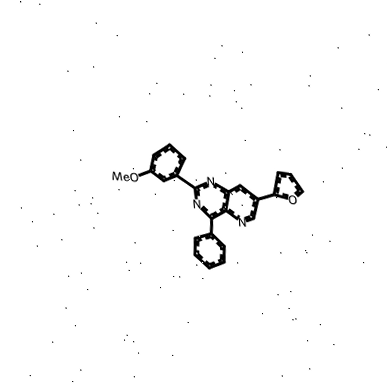 COc1cccc(-c2nc(-c3ccccc3)c3ncc(-c4ccco4)cc3n2)c1